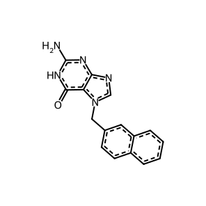 Nc1nc2ncn(Cc3ccc4ccccc4c3)c2c(=O)[nH]1